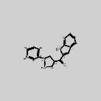 O=C(c1cc2cccnc2[nH]1)C1CSN(c2cccnc2)C1